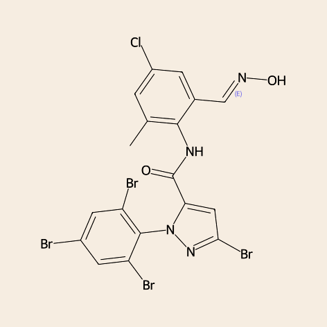 Cc1cc(Cl)cc(/C=N/O)c1NC(=O)c1cc(Br)nn1-c1c(Br)cc(Br)cc1Br